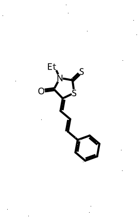 CCN1C(=O)C(=C/C=C/c2ccccc2)SC1=S